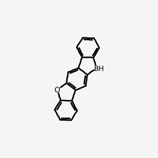 B1c2ccccc2-c2cc3oc4ccccc4c3cc21